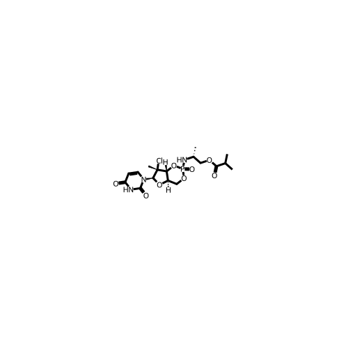 CC(C)C(=O)OC[C@@H](C)NP1(=O)OC[C@H]2O[C@@H](n3ccc(=O)[nH]c3=O)[C@](C)(Cl)[C@@H]2O1